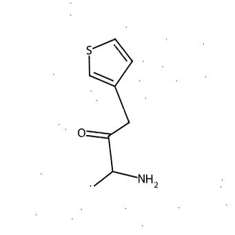 [CH2]C(N)C(=O)Cc1ccsc1